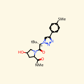 CNC(=O)C1CC(O)CN1C(=O)[C@@H](n1cc(-c2ccc(SC)cc2)nn1)C(C)(C)C